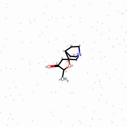 CC1OC2(CC1=O)CN1CCC2CC1